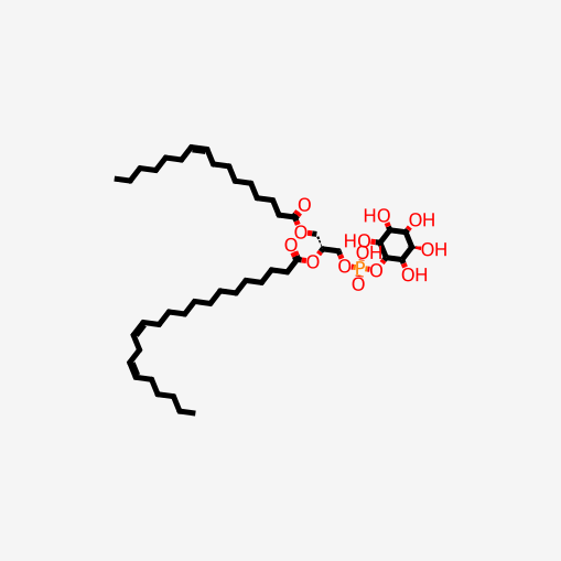 CCCCC/C=C\C/C=C\CCCCCCCCCCCC(=O)O[C@H](COC(=O)CCCCCCC/C=C\CCCCCC)COP(=O)(O)OC1C(O)C(O)C(O)[C@@H](O)C1O